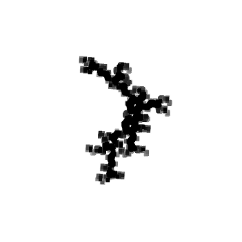 C=C(COc1cc2oc3cc(OCC(=O)N[C@@H](CCCNC(=N)N)C(=O)OC)c(CO)c(CC=C(C)C)c3c(=O)c2c(O)c1CC=C(C)C)N[C@@H](CCCNC(=N)N)C(=O)OC